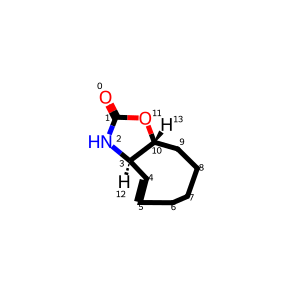 O=C1N[C@@H]2/C=C/CCCC[C@H]2O1